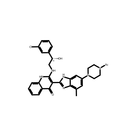 CC(=O)N1CCN(c2cc(C)c3nc(-c4c(NC[C@@H](O)c5cccc(Cl)c5)[nH]c5ccccc5c4=O)[nH]c3c2)CC1